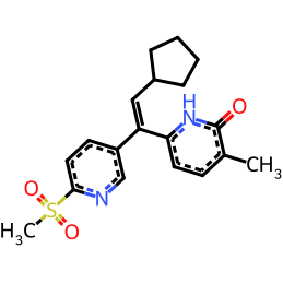 Cc1ccc(/C(=C\C2CCCC2)c2ccc(S(C)(=O)=O)nc2)[nH]c1=O